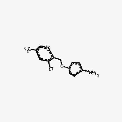 Nc1ccc(OCc2ncc(C(F)(F)F)cc2Cl)cc1